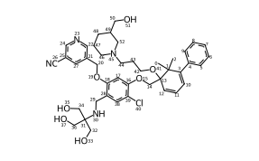 CC1(C)C(c2ccccc2)=CC=CC1(COc1cc(OCc2cncc(C#N)c2)c(CNC(CO)(CO)CO)cc1Cl)OCCCN1CCCC(CO)C1